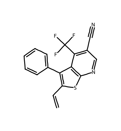 C=Cc1sc2ncc(C#N)c(C(F)(F)F)c2c1-c1ccccc1